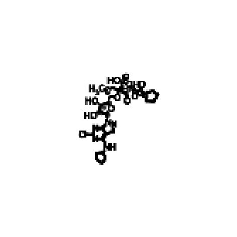 COCC(OC[C@H]1O[C@@H](n2ncc3c(NC4CCCC4)nc(Cl)nc32)[C@H](O)[C@@H]1O)(C(=O)NS(=O)(=O)N1CCCC1)P(=O)(O)O